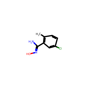 Cc1ccc(Cl)cc1/C(N)=N/O